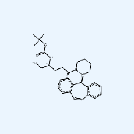 CC(C)(C)OC(=O)N[C@H](CO)CCC(=O)N1CCCCC1=C1c2ccccc2C=Cc2ccccc21